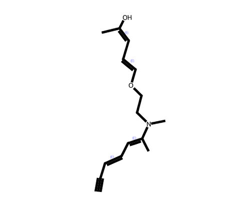 C#C/C=C/C=C(\C)N(C)CCO/C=C/C=C(\C)O